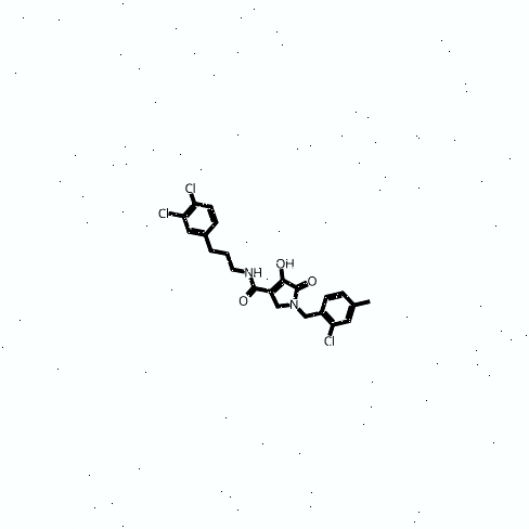 Cc1ccc(CN2CC(C(=O)NCCCc3ccc(Cl)c(Cl)c3)=C(O)C2=O)c(Cl)c1